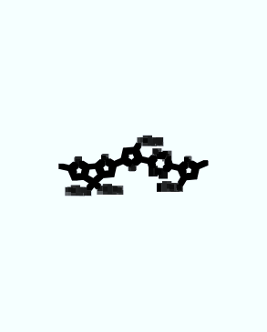 CCCCCCc1cc(C)sc1-c1nnc(-c2sc(-c3cc4c(s3)-c3sc(C)cc3C4(CCCCCC)CCCCCC)cc2CCCCCC)nn1